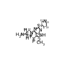 CCc1[nH]c2nc(Sc3cccnc3)nc(N3C[C@@H]4[C@@H](N)[C@@H]4C3)c2c1C(F)F